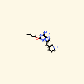 CCCCOc1nc(N)c2ncc(CC3CCCNC3)n2n1